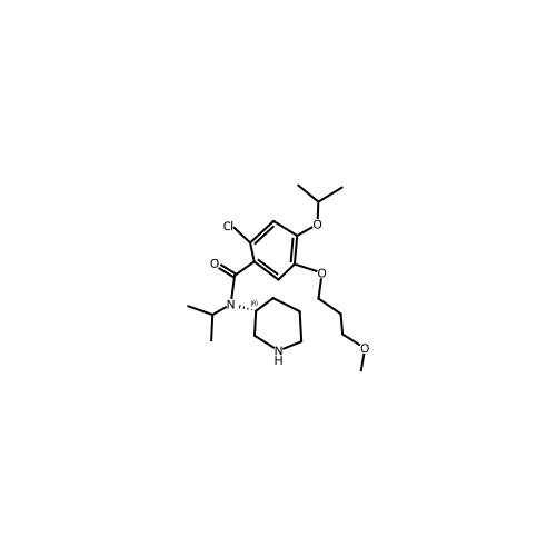 COCCCOc1cc(C(=O)N(C(C)C)[C@@H]2CCCNC2)c(Cl)cc1OC(C)C